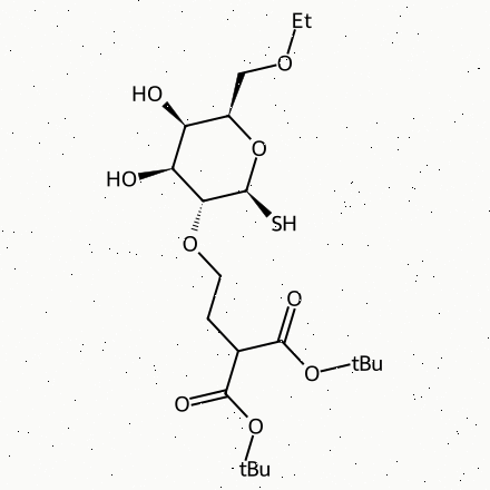 CCOC[C@H]1O[C@@H](S)[C@H](OCCC(C(=O)OC(C)(C)C)C(=O)OC(C)(C)C)[C@@H](O)[C@H]1O